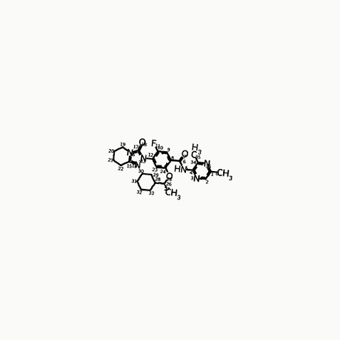 Cc1cnc(NC(=O)c2cc(F)c(-n3nc4n(c3=O)CCCC4)cc2O[C@@H](C)C2CCCCC2)c(C)n1